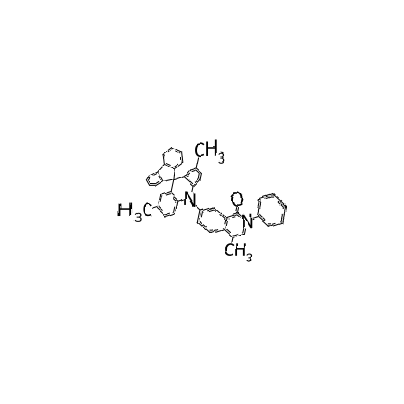 Cc1ccc2c(c1)C1(c3ccccc3-c3ccccc31)c1cc(C)ccc1N2c1ccc2c(C)cn(-c3ccccc3)c(=O)c2c1